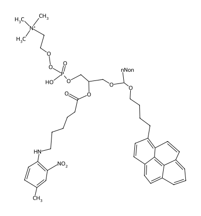 CCCCCCCCCC(OCCCCc1ccc2ccc3cccc4ccc1c2c34)OCC(COP(=O)(O)OOCC[N+](C)(C)C)OC(=O)CCCCCNc1ccc(C)cc1[N+](=O)[O-]